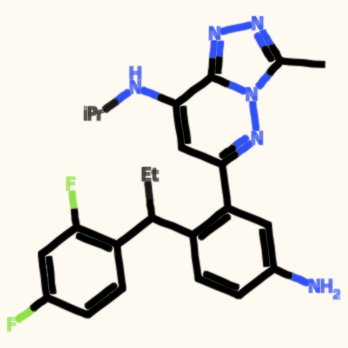 CCC(c1ccc(F)cc1F)c1ccc(N)cc1-c1cc(NC(C)C)c2nnc(C)n2n1